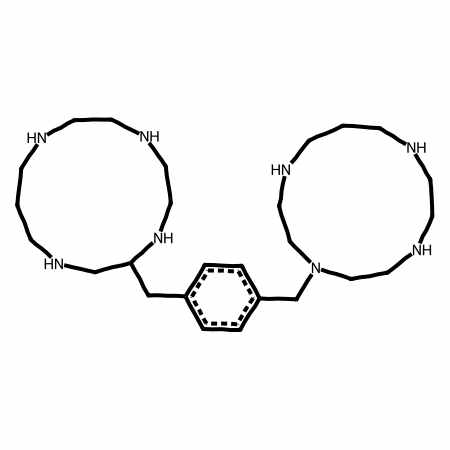 c1cc(CN2CCNCCCNCCNCC2)ccc1CC1CNCCCNCCNCCN1